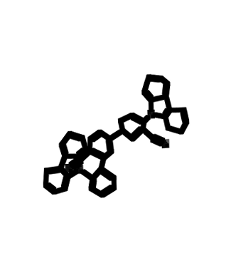 N#CC1=CC(c2ccc(C#N)c(-c3ccccc3-n3c4ccccc4c4ccccc43)c2)CC=C1n1c2c(c3ccccc31)C=CCC2